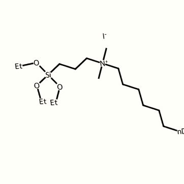 CCCCCCCCCCCCCCCC[N+](C)(C)CCC[Si](OCC)(OCC)OCC.[I-]